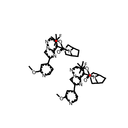 COc1cc(-c2cn3ncc(F)c(N4CC5CCC(C4)N5C(=O)OC(C)(C)C)c3n2)ccn1.COc1cc(-c2cn3ncc(F)c(N4CC5CCC(C4)N5C(=O)OC(C)(C)C)c3n2)ccn1